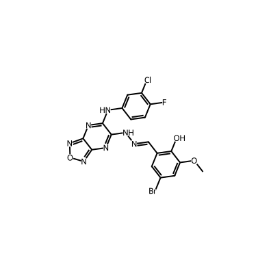 COc1cc(Br)cc(/C=N/Nc2nc3nonc3nc2Nc2ccc(F)c(Cl)c2)c1O